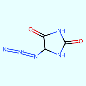 [N-]=[N+]=NC1NC(=O)NC1=O